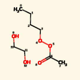 CCCCOOC(C)=O.OCCO